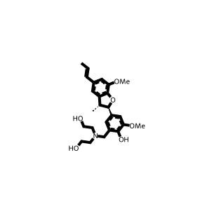 CC=Cc1cc(OC)c2c(c1)[C@@H](C)[C@H](c1cc(CN(CCO)CCO)c(O)c(OC)c1)O2